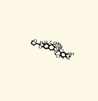 CCN(C(=O)c1ccc2nc[nH]c2c1)[C@@H]1Cc2cc3oc(C4CCCO4)nc3cc2C(C)(C)C1(C)C